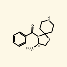 O=C(O)[C@@H]1CSC2(CCNCC2)N1C(=O)c1ccccc1